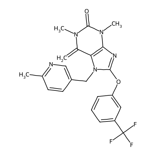 C=C1c2c(nc(Oc3cccc(C(F)(F)F)c3)n2Cc2ccc(C)nc2)N(C)C(=O)N1C